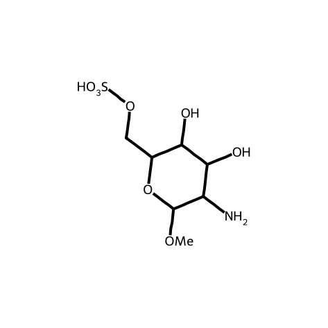 COC1OC(COS(=O)(=O)O)C(O)C(O)C1N